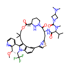 CO[C@@H](C)c1ncccc1-c1c2c3cc(ccc3n1CC(F)(F)F)-c1csc(n1)C[C@H](NC(=O)C(C(C)C)N(C)C(=O)N1CC(N(C)C)C1)C(=O)N1CCC[C@H](N1)C(=O)OCC(C)(C)C2